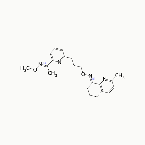 CO/N=C(\C)c1cccc(CCCO/N=C2\CCCc3ccc(C)nc32)n1